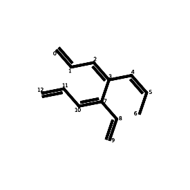 C=CC=C(/C=C\C)/C(C=C)=C\C=C